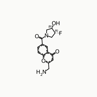 NCc1cc(=O)c2cc(C(=O)N3C[C@@H](O)[C@H](F)C3)ccc2o1